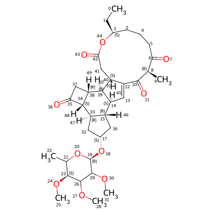 CC[C@H]1CCCC(=O)[C@@H](C)C(=O)C2=C[C@H]3[C@@H]4C[C@H](O[C@@H]5OC(C)[C@H](OC)C(OC)C5OC)C[C@H]4[C@@H]4C(=O)C[C@@H]4[C@H]3[C@@H]2CC(=O)O1